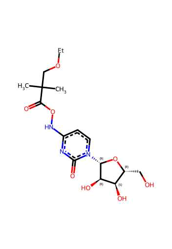 CCOCC(C)(C)C(=O)ONc1ccn([C@@H]2O[C@H](CO)[C@@H](O)[C@H]2O)c(=O)n1